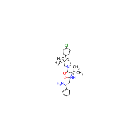 CC(C)[C@@H](NC(=O)CC(N)c1ccccc1)C(=O)N1CC[C@H](c2ccc(Cl)cc2)C(C)(C)C1